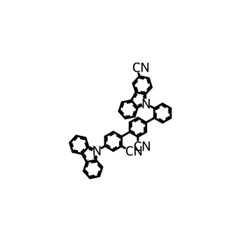 N#Cc1ccc2c(c1)c1ccccc1n2-c1ccccc1-c1ccc(-c2ccc(-n3c4ccccc4c4ccccc43)cc2C#N)c(C#N)c1